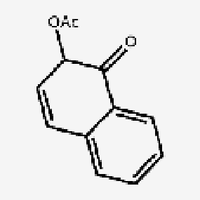 CC(=O)OC1C=Cc2ccccc2C1=O